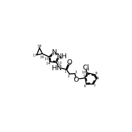 O=C(CCOc1ccccc1Cl)Nc1cc(C2CC2)n[nH]1